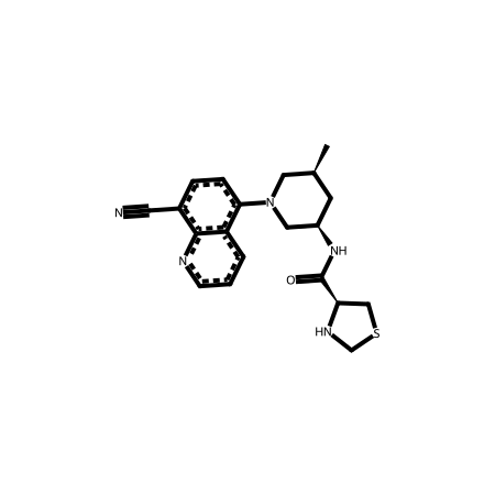 C[C@H]1C[C@@H](NC(=O)[C@H]2CSCN2)CN(c2ccc(C#N)c3ncccc23)C1